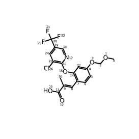 COCOc1ccc(/C=C(\C)C(=O)O)c(Oc2ncc(C(F)(F)F)cc2Cl)c1